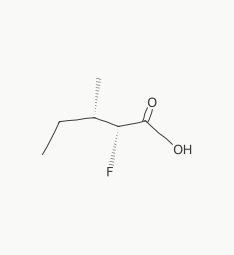 CC[C@H](C)[C@@H](F)C(=O)O